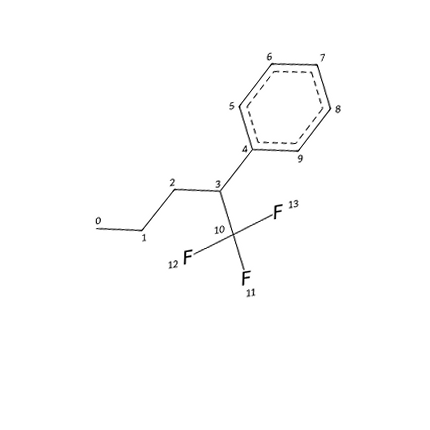 CCCC(c1ccccc1)C(F)(F)F